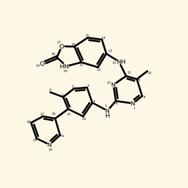 Cc1ccc(Nc2ncc(C)c(Nc3ccc4oc(=O)[nH]c4c3)n2)cc1-c1cccnc1